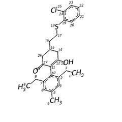 CCc1cc(C)cc(CC)c1C1=C(O)CC(CCSc2ccccc2Cl)CC1=O